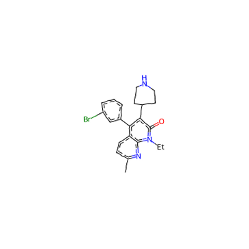 CCn1c(=O)c(C2CCNCC2)c(-c2cccc(Br)c2)c2ccc(C)nc21